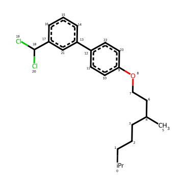 CC(C)CCCC(C)CCOc1ccc(-c2cccc(C(Cl)Cl)c2)cc1